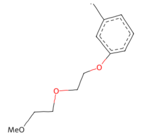 [CH2]c1cccc(OCCOCCOC)c1